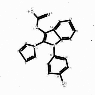 O=C(O)Oc1c(-n2cccc2)n(-c2ccc(O)cc2)c2ccccc12